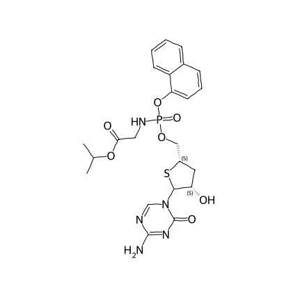 CC(C)OC(=O)CNP(=O)(OC[C@@H]1C[C@H](O)C(n2cnc(N)nc2=O)S1)Oc1cccc2ccccc12